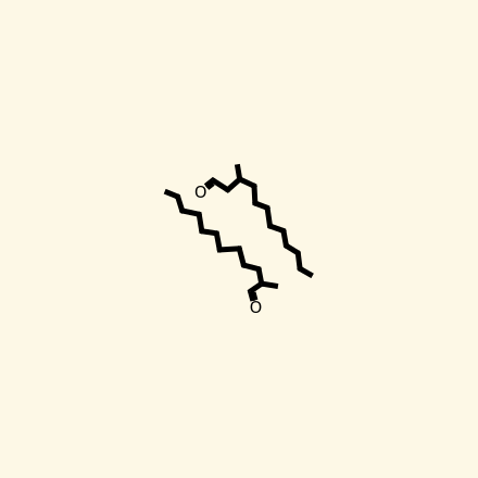 CCCCCCCCCC(C)CC=O.CCCCCCCCCCC(C)C=O